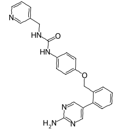 Nc1ncc(-c2ccccc2COc2ccc(NC(=O)NCc3cccnc3)cc2)cn1